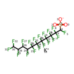 O=S(=O)([O-])C(F)C(F)(F)C(F)(F)C(F)(F)C(F)(F)C(F)(F)C(F)(F)C(F)C(F)C(F)C(F)F.[K+]